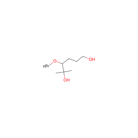 CCCOC(CCCO)C(C)(C)O